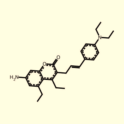 CCc1cc(N)cc2oc(=O)c(CC=Cc3ccc(N(CC)CC)cc3)c(CC)c12